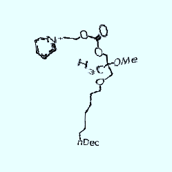 CCCCCCCCCCCCCCCCOCC(C)(COC(=O)OCC[n+]1ccccc1)OC